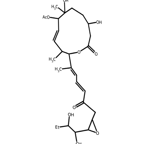 CCC(O)C(C)C1OC1CC(=O)/C=C/C=C(\C)C1OC(=O)CC(O)CCC(C)(O)C(OC(C)=O)/C=C/C1C